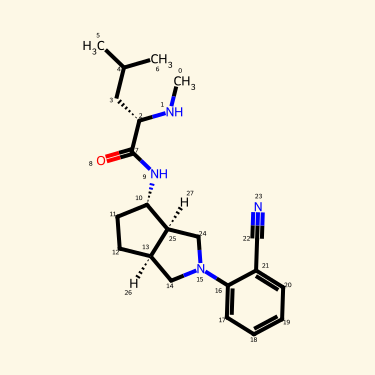 CN[C@@H](CC(C)C)C(=O)N[C@H]1CC[C@@H]2CN(c3ccccc3C#N)C[C@@H]21